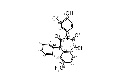 CCN1C(=O)N(c2ccc(O)c(Cl)c2)C(=O)N(c2ccccc2)c2cc(C(F)(F)F)ccc21